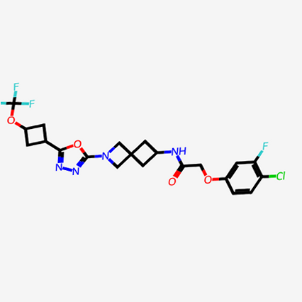 O=C(COc1ccc(Cl)c(F)c1)NC1CC2(C1)CN(c1nnc(C3CC(OC(F)(F)F)C3)o1)C2